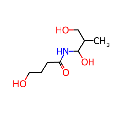 CC(CO)C(O)NC(=O)CCCO